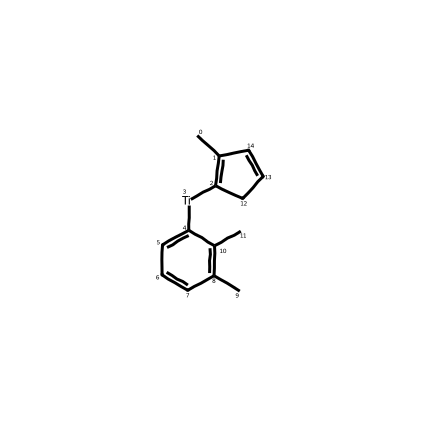 CC1=[C]([Ti][c]2cccc(C)c2C)CC=C1